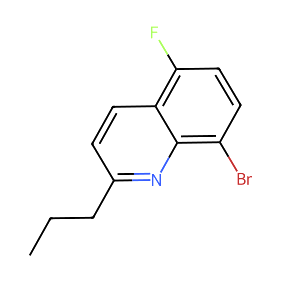 CCCc1ccc2c(F)ccc(Br)c2n1